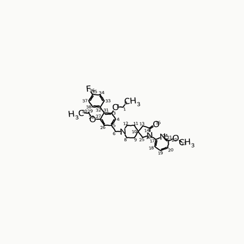 CCOc1cc(CN2CCC3(CC2)CC(=O)N(c2cccc(OC)n2)C3)cc(OCC)c1-c1ccc(F)cc1